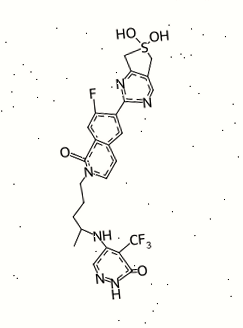 CC(CCCn1ccc2cc(-c3ncc4c(n3)CS(O)(O)C4)c(F)cc2c1=O)Nc1cn[nH]c(=O)c1C(F)(F)F